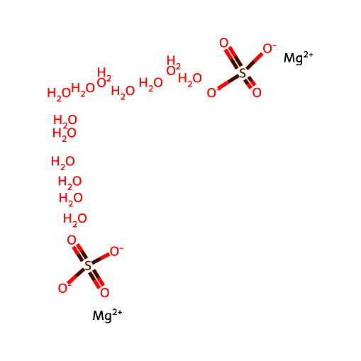 O.O.O.O.O.O.O.O.O.O.O.O.O.O=S(=O)([O-])[O-].O=S(=O)([O-])[O-].[Mg+2].[Mg+2]